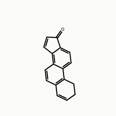 O=C1C=Cc2c1ccc1c3c(ccc21)C=CCC3